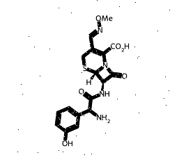 CON=CC1=C(C(=O)O)N2C(=O)[C@@H](NC(=O)C(N)c3cccc(O)c3)[C@@H]2SC1